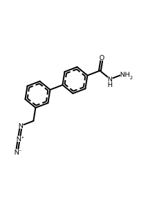 [N-]=[N+]=NCc1cccc(-c2ccc(C(=O)NN)cc2)c1